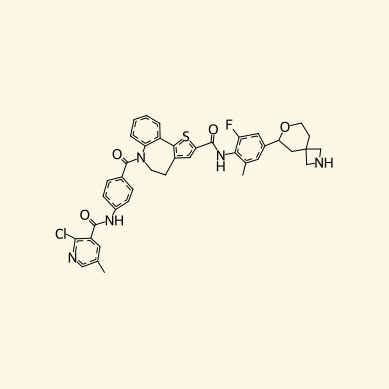 Cc1cnc(Cl)c(C(=O)Nc2ccc(C(=O)N3CCc4cc(C(=O)Nc5c(C)cc(C6CC7(CCO6)CNC7)cc5F)sc4-c4ccccc43)cc2)c1